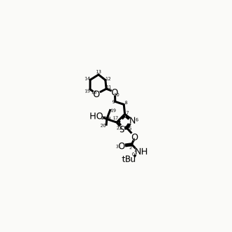 CC(C)(C)NC(=O)Oc1nc(CCOC2CCCCO2)c(C(C)(C)O)s1